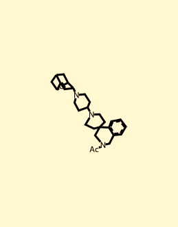 CC(=O)N1Cc2ccccc2C2(CCN(C3CCN(C4C=C5C6CC5CC4C6)CC3)CC2)C1